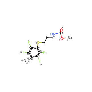 CC(C)(C)OC(=O)NCCCSc1c(F)c(F)c(C(=O)O)c(F)c1F